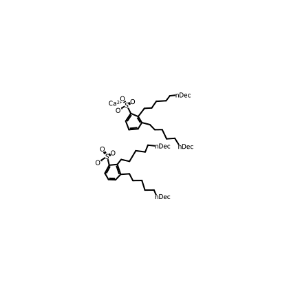 CCCCCCCCCCCCCCCc1cccc(S(=O)(=O)[O-])c1CCCCCCCCCCCCCCC.CCCCCCCCCCCCCCCc1cccc(S(=O)(=O)[O-])c1CCCCCCCCCCCCCCC.[Ca+2]